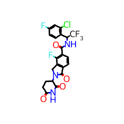 O=C1CCC(N2Cc3c(ccc(C(=O)NC(c4ccc(F)cc4Cl)C(F)(F)F)c3F)C2=O)C(=O)N1